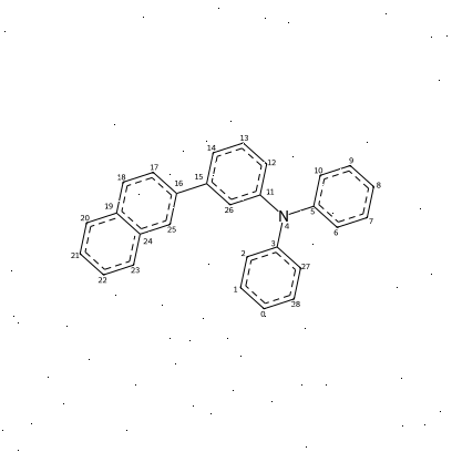 c1ccc(N(c2ccccc2)c2cccc(-c3ccc4ccccc4c3)c2)cc1